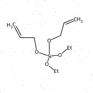 C=CCO[Si](OCC)(OCC)OCC=C